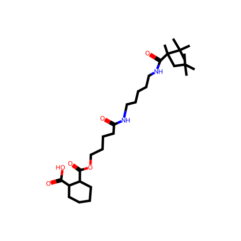 CC(C)(C)CC(C)(C(=O)NCCCCCNC(=O)CCCCOC(=O)C1CCCCC1C(=O)O)C(C)(C)C